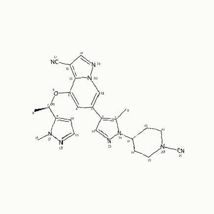 Cc1c(-c2cc(O[C@H](C)c3ccnn3C)c3c(C#N)cnn3c2)cnn1C1CCN(C#N)CC1